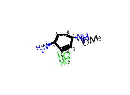 CONc1ccc(N)cc1.Cl.Cl